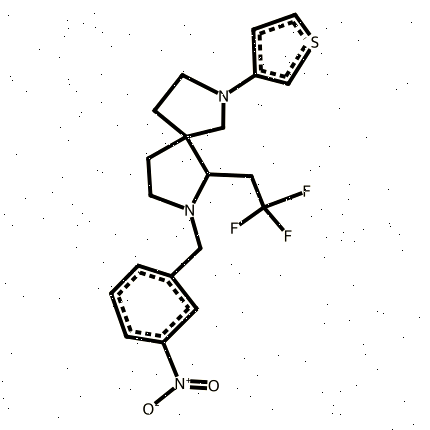 O=[N+]([O-])c1cccc(CN2CCC3(CCN(c4ccsc4)C3)C2CC(F)(F)F)c1